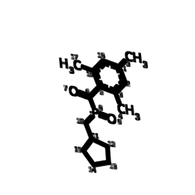 Cc1cc(C)c(C(=O)[P](=O)CC2CCCC2)c(C)c1